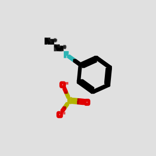 Fc1ccccc1.O=S([O-])[O-].[Na+].[Na+]